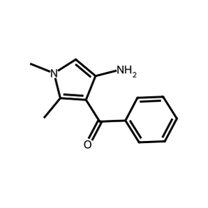 Cc1c(C(=O)c2ccccc2)c(N)cn1C